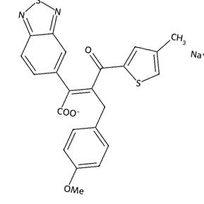 COc1ccc(CC(C(=O)c2cc(C)cs2)=C(C(=O)[O-])c2ccc3nsnc3c2)cc1.[Na+]